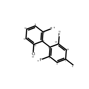 Cc1cc(F)c(-c2c(F)[c]ccc2Cl)c(F)c1